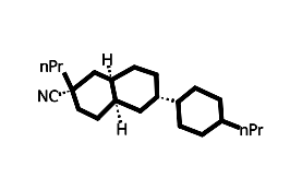 CCCC1CCC([C@H]2CC[C@@H]3C[C@](C#N)(CCC)CC[C@@H]3C2)CC1